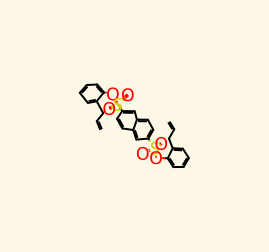 C=CCc1ccccc1OS(=O)(=O)c1ccc2cc(S(=O)(=O)Oc3ccccc3CC=C)ccc2c1